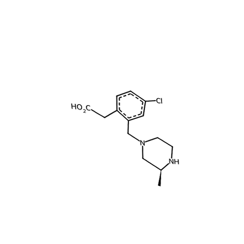 C[C@H]1CN(Cc2cc(Cl)ccc2CC(=O)O)CCN1